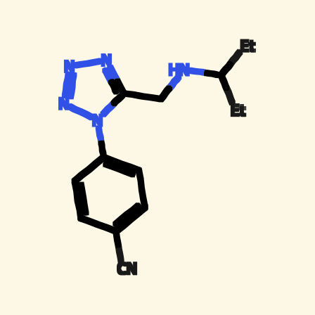 CCC(CC)NCc1nnnn1-c1ccc(C#N)cc1